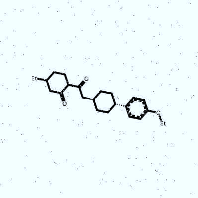 CCOc1ccc([C@H]2CC[C@H](CC(=O)C3CCC(CC)CC3=O)CC2)cc1